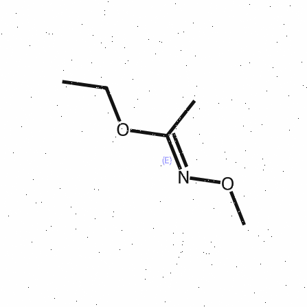 CCO/C(C)=N/OC